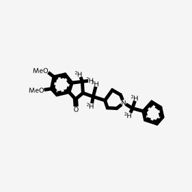 [2H]C1([2H])c2cc(OC)c(OC)cc2C(=O)C1C([2H])([2H])C1CCN(C([2H])([2H])c2ccccc2)CC1